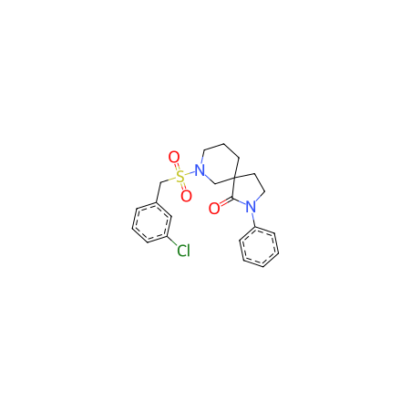 O=C1N(c2ccccc2)CCC12CCCN(S(=O)(=O)Cc1cccc(Cl)c1)C2